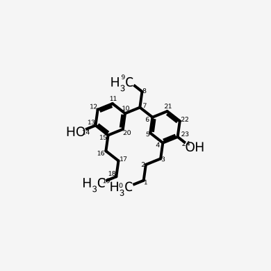 CCCCc1cc(C(CC)c2ccc(O)c(CCCC)c2)ccc1O